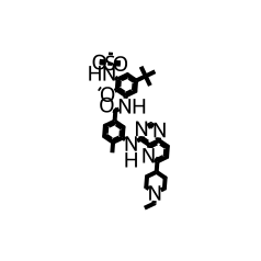 CCN1CCC(c2ccc3ncnc(Nc4cc(C(=O)Nc5cc(C(C)(C)C)cc(NS(C)(=O)=O)c5OC)ccc4C)c3n2)CC1